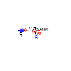 CC1=C(C(=O)OCCCCCCOc2cc(-c3cccc(F)c3)[nH]n2)C(c2cccc([N+](=O)[O-])c2)C(C(=O)OCCOCC(C)C)=C(C)N1